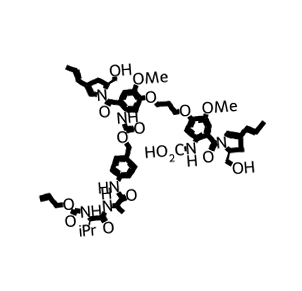 C=CCOC(=O)N[C@H](C(=O)NC(C)C(=O)Nc1ccc(COC(=O)Nc2cc(OCCCOc3cc(NC(=O)O)c(C(=O)N4C=C(/C=C/C)C[C@H]4CO)cc3OC)c(OC)cc2C(=O)N2C=C(/C=C/C)C[C@H]2CO)cc1)C(C)C